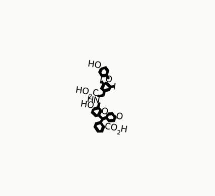 O=C(O)c1ccccc1-c1c2ccc(=O)cc-2oc2c(CNC(Cc3cc(I)c(Oc4ccc(O)cc4)c(I)c3)C(=O)O)c(O)ccc12